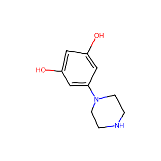 Oc1cc(O)cc(N2CCNCC2)c1